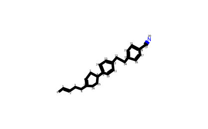 C/C=C/CCC1=CCC(c2ccc(CCc3ccc(C#N)cc3)cc2)CC1